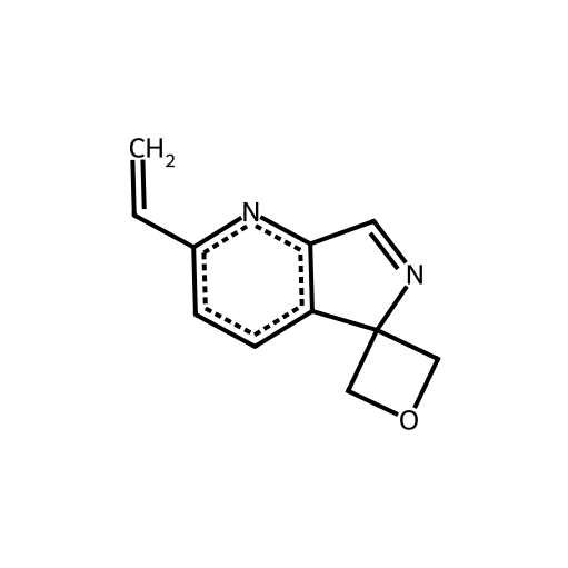 C=Cc1ccc2c(n1)C=NC21COC1